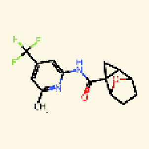 Cc1cc(C(F)(F)F)cc(NC(=O)C23CC2C2CCC3O2)n1